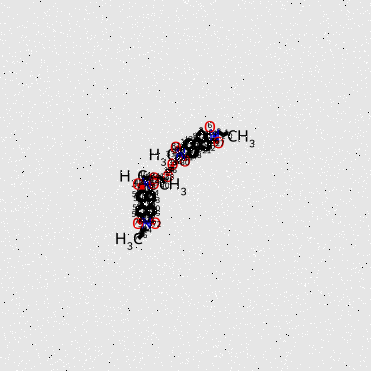 CCCCN1C(=O)c2ccc3c4ccc5c6c(ccc(c7ccc(c2c37)C1=O)c64)C(=O)N(C(C)COCCOC(C)COCC(C)N1C(=O)c2ccc3c4ccc6c7c(ccc(c8ccc(c2c38)C1=O)c74)C(=O)N(CCCC)C6=O)C5=O